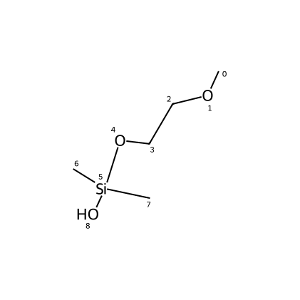 COCCO[Si](C)(C)O